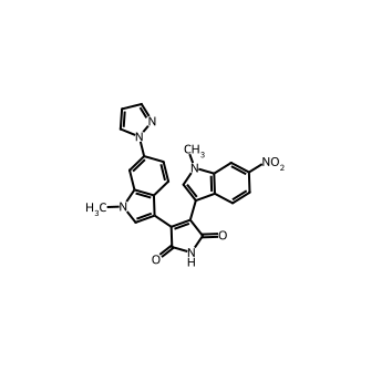 Cn1cc(C2=C(c3cn(C)c4cc([N+](=O)[O-])ccc34)C(=O)NC2=O)c2ccc(-n3cccn3)cc21